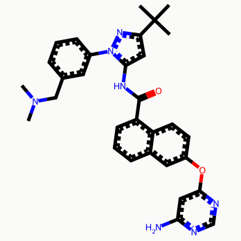 CN(C)Cc1cccc(-n2nc(C(C)(C)C)cc2NC(=O)c2cccc3cc(Oc4cc(N)ncn4)ccc23)c1